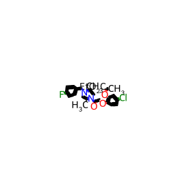 CCOC(=O)C(C)Oc1cc(Cl)ccc1OCC(=O)N1C[C@H](C)N(Cc2ccc(F)cc2)C[C@H]1C